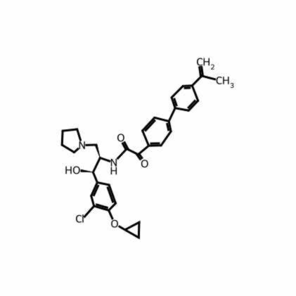 C=C(C)c1ccc(-c2ccc(C(=O)C(=O)N[C@H](CN3CCCC3)[C@H](O)c3ccc(OC4CC4)c(Cl)c3)cc2)cc1